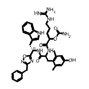 Cc1cc(O)cc(C)c1CC(NC(=O)C(CCCNC(=N)N)OC(N)=O)C(=O)N[C@@H](Cc1c[nH]c2ccccc12)c1nc(Cc2ccccc2)no1